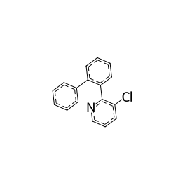 Clc1cccnc1-c1ccccc1-c1ccccc1